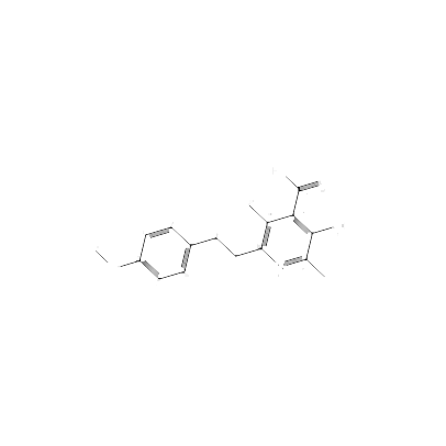 COc1ccc(CCc2nc(C)c(O)c(C(=O)O)c2C)cc1